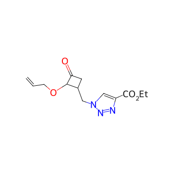 C=CCOC1C(=O)CC1Cn1cc(C(=O)OCC)nn1